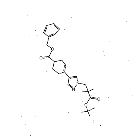 CC(C)(C)OC(=O)C(C)(C)Cn1cc(C2=CCC(C(=O)OCc3ccccc3)CC2)cn1